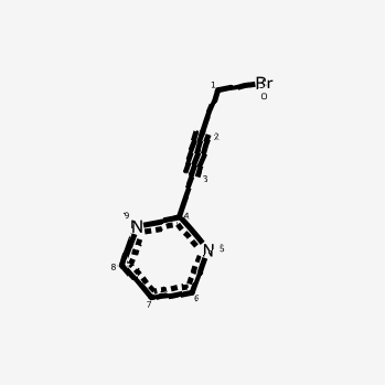 BrCC#Cc1ncccn1